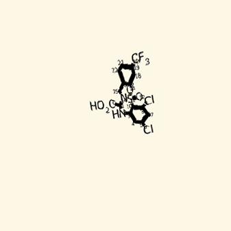 O=C(O)C1Nc2cc(Cl)cc(Cl)c2S(=O)(=O)N1Cc1ccc(C(F)(F)F)cc1